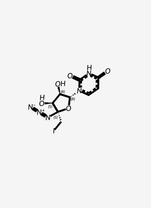 [N-]=[N+]=N[C@]1(CI)O[C@@H](n2ccc(=O)[nH]c2=O)[C@H](O)[C@@H]1O